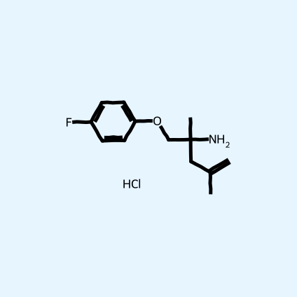 C=C(C)CC(C)(N)COc1ccc(F)cc1.Cl